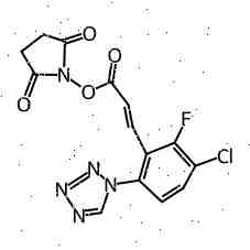 O=C(/C=C/c1c(-n2cnnn2)ccc(Cl)c1F)ON1C(=O)CCC1=O